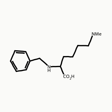 CNCCCCC(NCc1ccccc1)C(=O)O